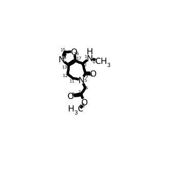 CNC1C(=O)N(CC(=O)OC)CCc2ncoc21